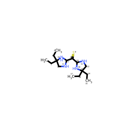 CCC1(CC)CNC(C(=S)C2NCC(CC)(CC)N2)N1